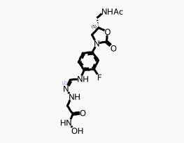 CC(=O)NC[C@H]1CN(c2ccc(N/C=N\NCC(=O)NO)c(F)c2)C(=O)O1